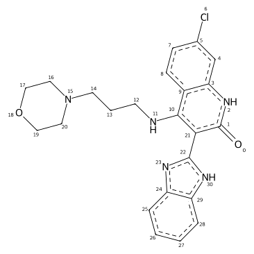 O=c1[nH]c2cc(Cl)ccc2c(NCCCN2CCOCC2)c1-c1nc2ccccc2[nH]1